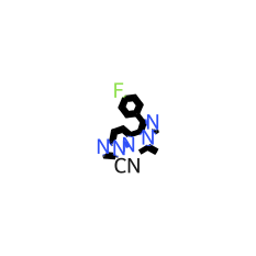 C=C(C)n1cnc(-c2ccc(F)cc2)c1-c1ccc2ncc(C#N)n2n1